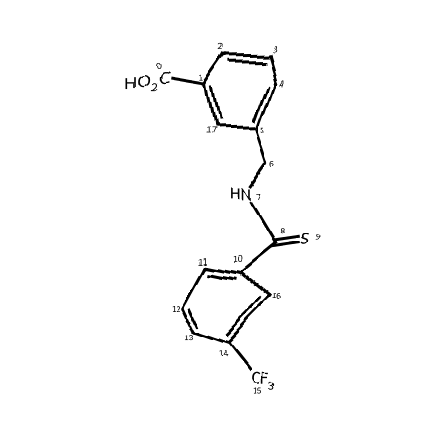 O=C(O)c1cccc(CNC(=S)c2cccc(C(F)(F)F)c2)c1